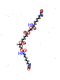 CC(C)(CCOC(=O)NCCCCCCN=C=O)OC(=O)CCCCC(=O)OCCOC(=O)NCCCCCCN=C=O